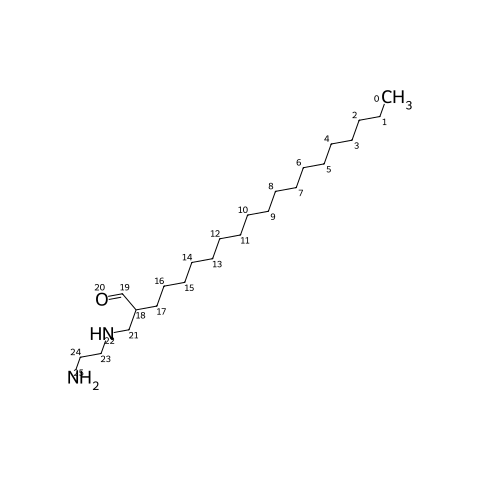 CCCCCCCCCCCCCCCCCCC(C=O)CNCCN